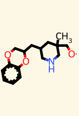 CC1(C[O])CNCC(CC2COc3ccccc3O2)C1